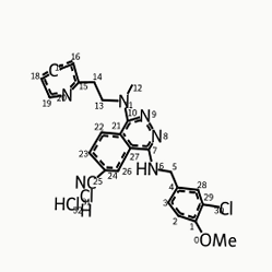 COc1ccc(CNc2nnc(N(C)CCc3ccccn3)c3ccc(C#N)cc23)cc1Cl.Cl.Cl